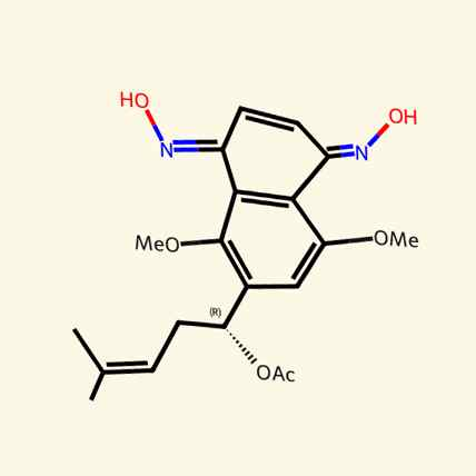 COc1cc([C@@H](CC=C(C)C)OC(C)=O)c(OC)c2c1C(=NO)C=CC2=NO